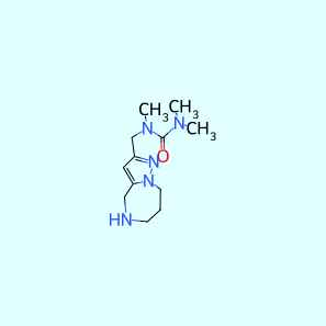 CN(C)C(=O)N(C)Cc1cc2n(n1)CCCNC2